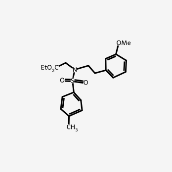 CCOC(=O)CN(CCc1cccc(OC)c1)S(=O)(=O)c1ccc(C)cc1